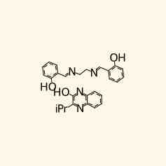 CC(C)c1nc2ccccc2nc1O.Oc1ccccc1/C=N/CC/N=C/c1ccccc1O